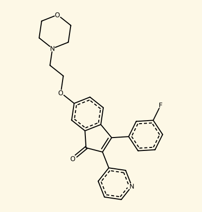 O=C1C(c2cccnc2)=C(c2cccc(F)c2)c2ccc(OCCN3CCOCC3)cc21